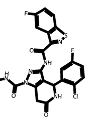 CNC(=O)n1nc(NC(=O)c2nsc3ccc(F)cc23)c2c1CC(=O)NC2c1cc(F)ccc1Cl